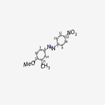 COc1ccc(/N=N/c2ccc([N+](=O)[O-])cc2)cc1C